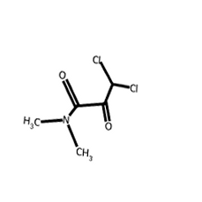 CN(C)C(=O)C(=O)C(Cl)Cl